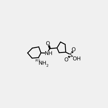 N[C@@H]1CCCCC1NC(=O)C1CCC(S(=O)(=O)O)C1